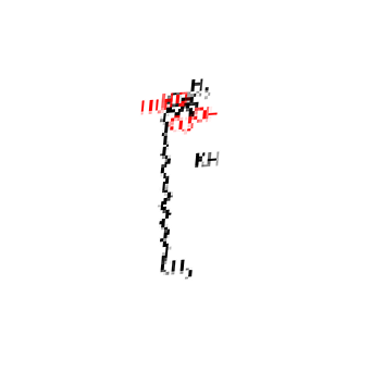 CCCCCCCCCCCCCCCCCCC(C)(O)C(=O)C(C)(O)C(=O)O.[KH]